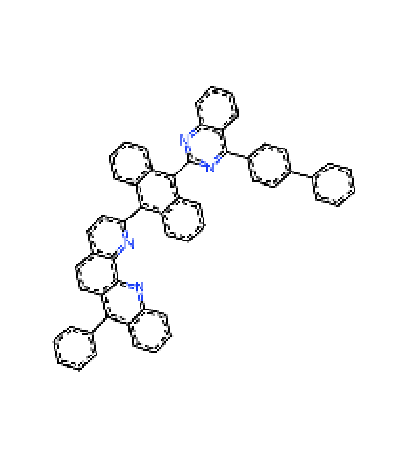 c1ccc(-c2ccc(-c3nc(-c4c5ccccc5c(-c5ccc6ccc7c(-c8ccccc8)c8ccccc8nc7c6n5)c5ccccc45)nc4ccccc34)cc2)cc1